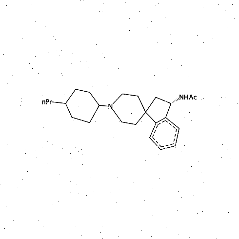 CCCC1CCC(N2CCC3(CC2)C[C@H](NC(C)=O)c2ccccc23)CC1